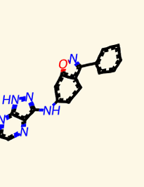 c1ccc(-c2noc3cc(Nc4n[nH]c5nccnc45)ccc23)cc1